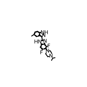 Cc1ccc2[nH]nc(-c3nc4c(F)c(N5CCN(C(C)C)CC5)c(F)cc4[nH]3)c2c1